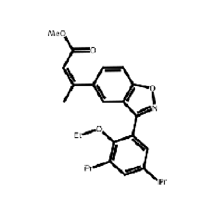 CCOc1c(-c2noc3ccc(/C(C)=C\C(=O)OC)cc23)cc(C(C)C)cc1C(C)C